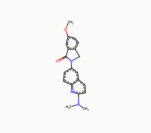 COc1ccc2c(c1)C(=O)N(c1ccc3nc(N(C)C)ccc3c1)C2